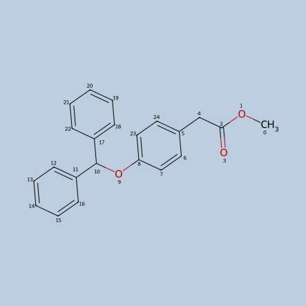 COC(=O)Cc1ccc(OC(c2ccccc2)c2ccccc2)cc1